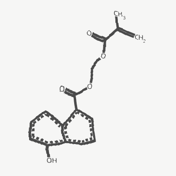 C=C(C)C(=O)OCOC(=O)c1cccc2c(O)cccc12